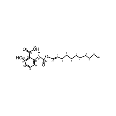 CCCCCCCCCC=COC(=O)Nc1cccc(O)c1C(=O)O